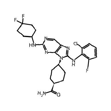 NC(=O)[C@H]1CC[C@@H](n2c(Nc3c(F)cccc3Cl)nc3cnc(NC4CCC(F)(F)CC4)nc32)CC1